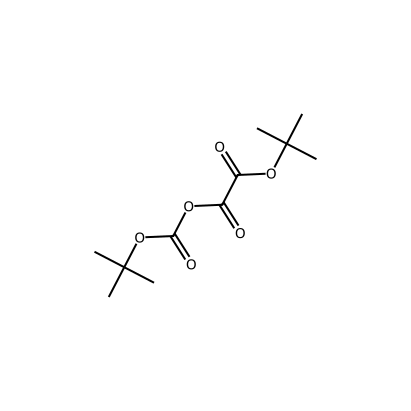 CC(C)(C)OC(=O)OC(=O)C(=O)OC(C)(C)C